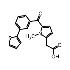 Cn1c(CC(=O)O)ccc1C(=O)c1cccc(-c2cccs2)c1